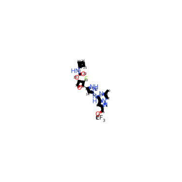 Cc1cn2nc(COC(F)(F)F)cc2c(Nc2cc([C@@H]3OC[C@H](OC(=O)NC45CC(C4)C5)[C@@H]3F)[nH]n2)n1